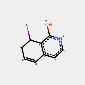 Oc1nccc2c1C(I)CC=C2